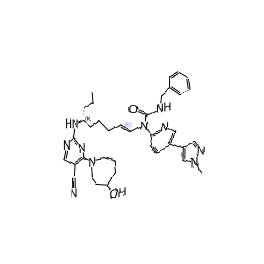 CCC[C@H](CCC/C=C/N(C(=O)NCc1ccccc1)c1ccc(-c2cnn(C)c2)cn1)Nc1ncc(C#N)c(N2CCCC(O)CC2)n1